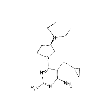 CCN(CC)[C@@H]1CCN(c2nc(N)nc(N)c2CC2CC2)C1